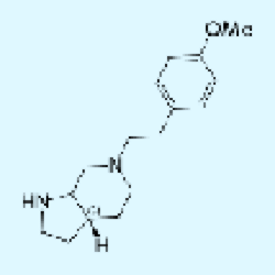 COc1ccc(CCN2CC[C@@H]3CCNC3C2)cc1